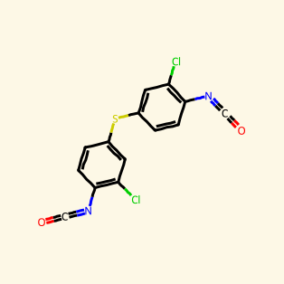 O=C=Nc1ccc(Sc2ccc(N=C=O)c(Cl)c2)cc1Cl